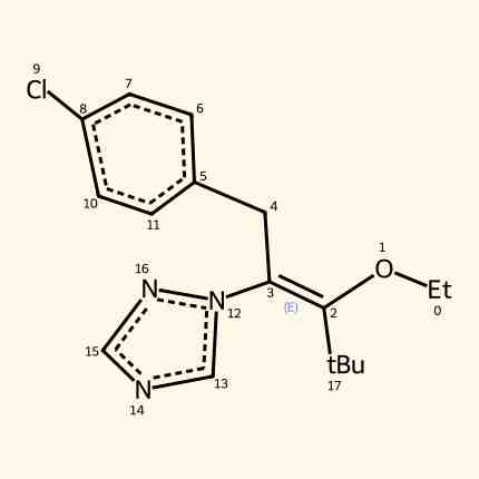 CCO/C(=C(\Cc1ccc(Cl)cc1)n1cncn1)C(C)(C)C